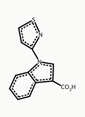 O=C(O)c1cn(-c2ccsn2)c2ccccc12